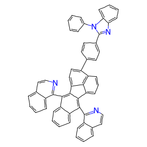 c1ccc(-n2c(-c3ccc(-c4ccc5c6c(cccc46)-c4c-5c(-c5nccc6ccccc56)c5ccccc5c4-c4nccc5ccccc45)cc3)nc3ccccc32)cc1